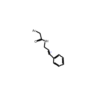 CC(=O)CC(=O)NC/C=C/c1ccccc1